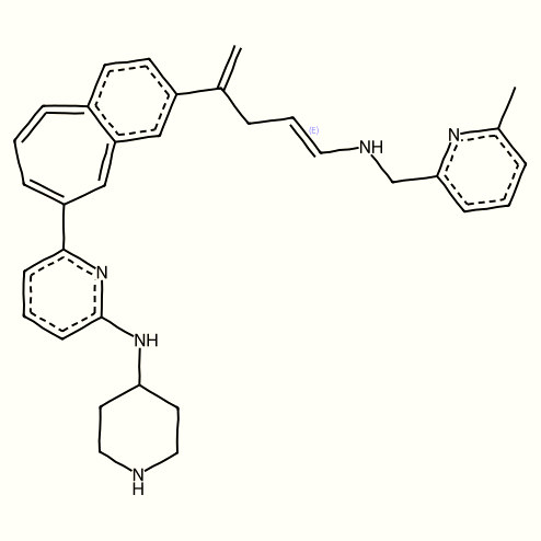 C=C(C/C=C/NCc1cccc(C)n1)c1ccc2c(c1)=CC(c1cccc(NC3CCNCC3)n1)=CC=C=2